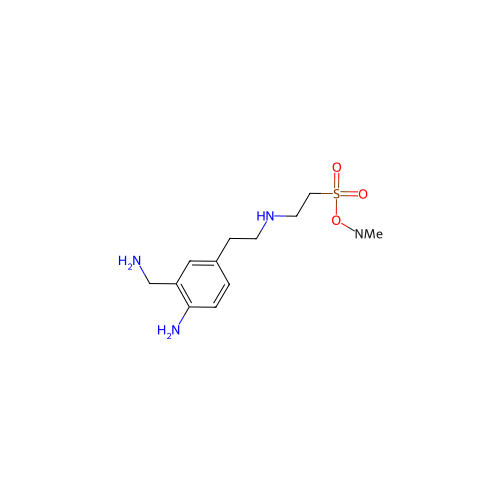 CNOS(=O)(=O)CCNCCc1ccc(N)c(CN)c1